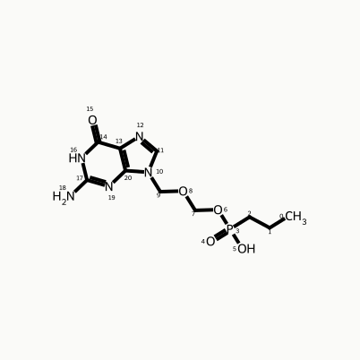 CCCP(=O)(O)OCOCn1cnc2c(=O)[nH]c(N)nc21